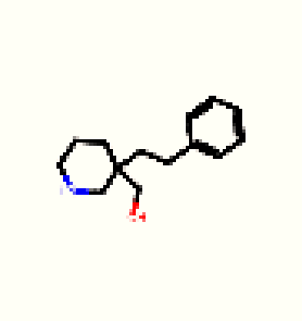 OCC1(CCc2ccccc2)CCCNC1